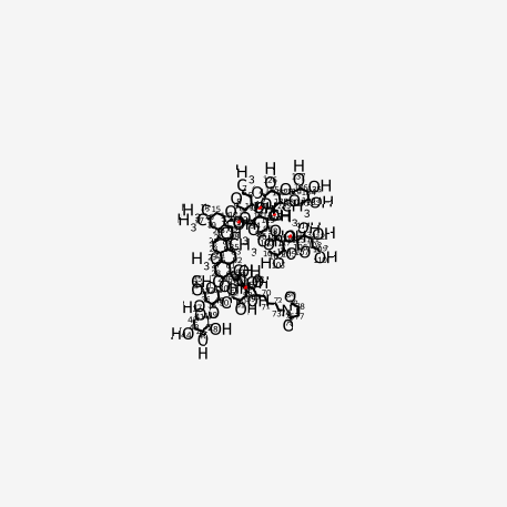 CC1OC(OC2C(C)OC(OC(=O)[C@]34CCC(C)(C)CC3C3=CCC5[C@@]6(C)CC[C@H](OC7OC(OC=O)C(O)C(OC8OCC(O)C(O)C8O)C7OC7OC(CO)C(O)C(O)C7O)[C@@](C)(/C=N/NC(=O)CCCCCN7C(=O)C=CC7=O)C6CC[C@@]5(C)[C@]3(C)CC4O)C(OC3OC(C)C(OC4OCC(O)C(OC5OC(CO)C(O)C(O)C5O)C4O)C(O)C3C)C2O)C(O)C(OC2OCC(O)C(O)C2O)C1C